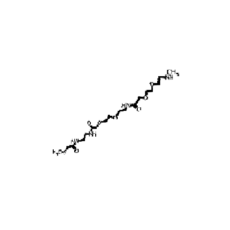 CNCCOCCOCC(=O)NCCOCCOCC(=O)NCCNC(=O)CSC